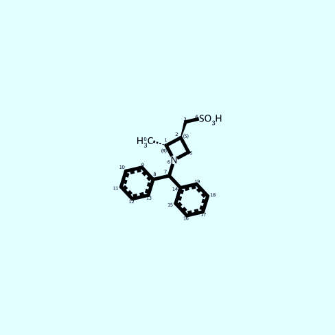 C[C@@H]1[C@@H](CS(=O)(=O)O)CN1C(c1ccccc1)c1ccccc1